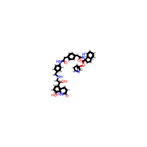 O=C(Cc1ccc(CC(=O)N[C@]2(C(=O)OC3CN4CCC3CC4)CCc3ccccc32)cc1)Nc1ccc(CNCC(O)c2ccc(O)c3[nH]c(=O)ccc23)cc1